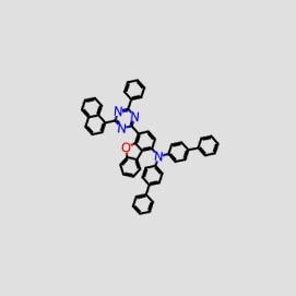 c1ccc(-c2ccc(N(c3ccc(-c4ccccc4)cc3)c3ccc(-c4nc(-c5ccccc5)nc(-c5cccc6ccccc56)n4)c4oc5ccccc5c34)cc2)cc1